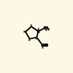 BN1CCCC1C=O